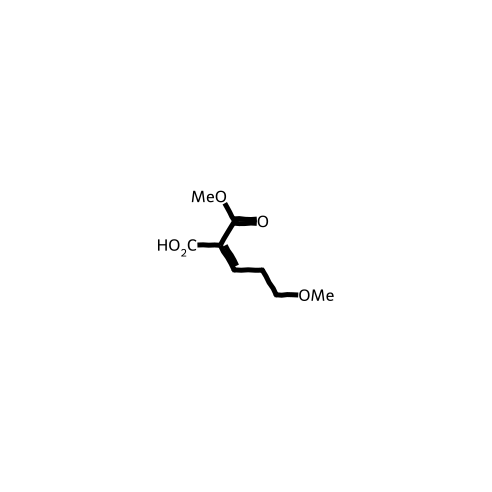 COCCC=C(C(=O)O)C(=O)OC